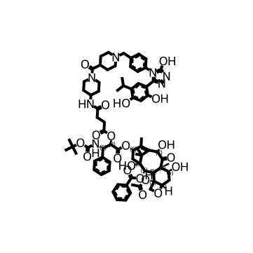 CC(=O)O[C@@]12CO[C@@H]1C[C@H](O)[C@@]1(C)C(=O)[C@H](O)C3=C(C)[C@@H](OC(=O)[C@H](OC(=O)CCC(=O)NC4CCN(C(=O)C5CCN(Cc6ccc(-n7c(O)nnc7-c7cc(C(C)C)c(O)cc7O)cc6)CC5)CC4)[C@@H](NC(=O)OC(C)(C)C)c4ccccc4)C[C@@](O)([C@@H](OC(=O)c4ccccc4)[C@H]21)C3(C)C